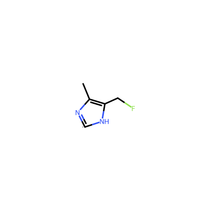 Cc1n[c][nH]c1CF